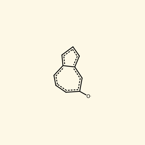 [O]c1cccc2cccc-2c1